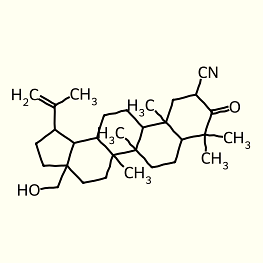 C=C(C)C1CCC2(CO)CCC3(C)C(CCC4C5(C)CC(C#N)C(=O)C(C)(C)C5CCC43C)C12